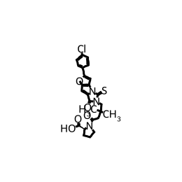 CC(C)(CC(=O)N1CCC[C@H]1C(=O)O)CN1C(=O)c2cc3oc(-c4ccc(Cl)cc4)cc3n2C1=S